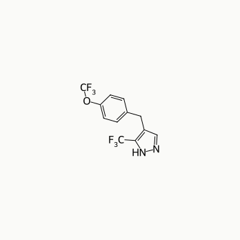 FC(F)(F)Oc1ccc(Cc2cn[nH]c2C(F)(F)F)cc1